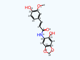 COc1cc(/C=C/C(=O)Nc2cc3c(cc2O)OCO3)ccc1O